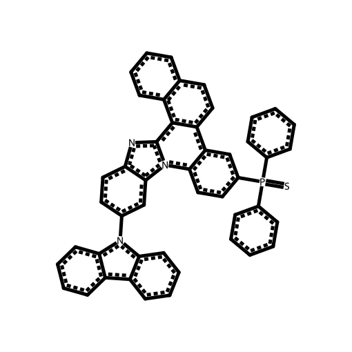 S=P(c1ccccc1)(c1ccccc1)c1ccc2c(c1)c1ccc3ccccc3c1c1nc3ccc(-n4c5ccccc5c5ccccc54)cc3n21